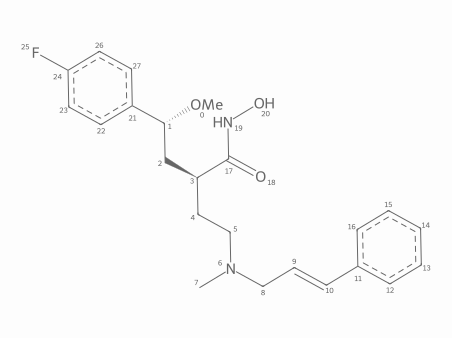 CO[C@H](C[C@H](CCN(C)C/C=C/c1ccccc1)C(=O)NO)c1ccc(F)cc1